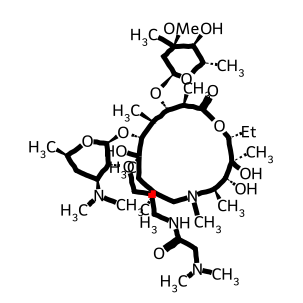 CC[C@H]1OC(=O)[C@H](C)[C@@H](O[C@H]2C[C@@](C)(OC)[C@@H](O)[C@H](C)O2)[C@H](C)[C@@H](O[C@@H]2O[C@H](C)C[C@H](N(C)C)[C@H]2OCCCNC(=O)CN(C)C)[C@](C)(O)C[C@@H](C)CN(C)[C@H](C)[C@@H](O)[C@]1(C)O